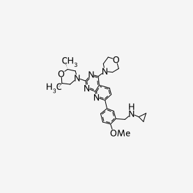 COc1ccc(-c2ccc3c(N4CCOCC4)nc(N4C[C@@H](C)O[C@@H](C)C4)nc3n2)cc1CNC1CC1